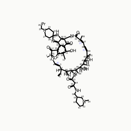 C=C[C@H]1/C=C/O[C@@]2(C)Oc3c(C)c(O)c4c(c3C2=O)C2=NC3(CCN(CC(C)C)CC3)NC2=C(NC(=O)/C(C)=C\C=C\[C@H](C)[C@H](O)[C@@H](C)[C@@H](O)[C@@H](C)[C@H](OC(=O)CC(=O)NCC2CCCN(C)C2)[C@@H]1C)C4=O